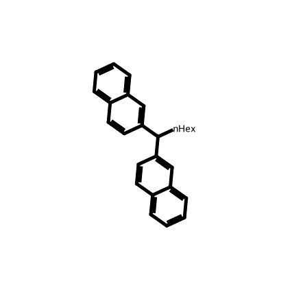 CCCCCC[C](c1ccc2ccccc2c1)c1ccc2ccccc2c1